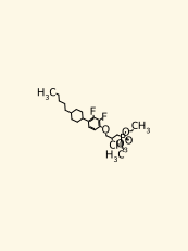 CCCCCC1CCC(c2ccc(OCC(C)CP(=O)(OCC)OCC)c(F)c2F)CC1